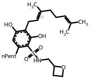 CCCCCc1cc(O)c(C/C=C(\C)CCC=C(C)C)c(O)c1S(=O)(=O)NCC1CCO1